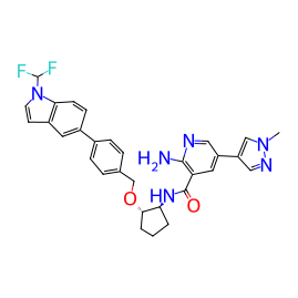 Cn1cc(-c2cnc(N)c(C(=O)N[C@H]3CCC[C@@H]3OCc3ccc(-c4ccc5c(ccn5C(F)F)c4)cc3)c2)cn1